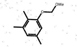 COCOc1cc(C)cc(C)c1C